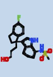 CS(=O)(=O)Nc1cccc2c(C3(CCCO)CCc4cc(F)ccc43)c[nH]c12